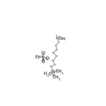 CCCCCCCCCCCCCCCCCC[N+](C)(C)C.CCS(=O)(=O)[O-]